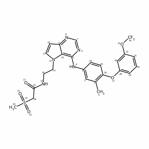 Cc1cc(Nc2ncnc3ccn(CCNC(=O)CS(C)(=O)=O)c23)ccc1Oc1cccc(OC(F)(F)F)c1